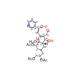 CC(=O)OC[C@H](CC1C[C@@H](OC(C)=O)[C@]2(C)OC3=C(COCO/C(c4cccnc4)=C\3)[C@@H](O)[C@@H]2C1)OC(C)=O